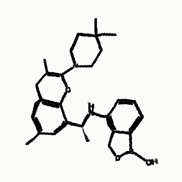 CC1=C(N2CCC(C)(C)CC2)Oc2c(cc(C)cc2[C@@H](C)Nc2cccc3c2COB3O)C1